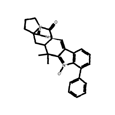 CC1(C)C2=[N+]([O-])c3c(cccc3-c3ccccc3)C2=C[C@@]23NC(=O)C4(CCCN4C2=O)CC13